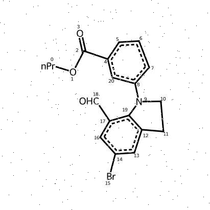 CCCOC(=O)c1cccc(N2CCc3cc(Br)cc(C=O)c32)c1